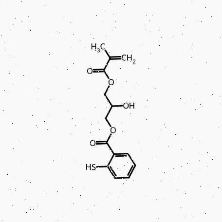 C=C(C)C(=O)OCC(O)COC(=O)c1ccccc1S